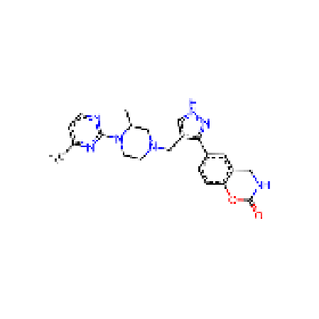 CC1CN(Cc2c[nH]nc2-c2ccc3c(c2)CNC(=O)O3)CCN1c1nccc(C(F)(F)F)n1